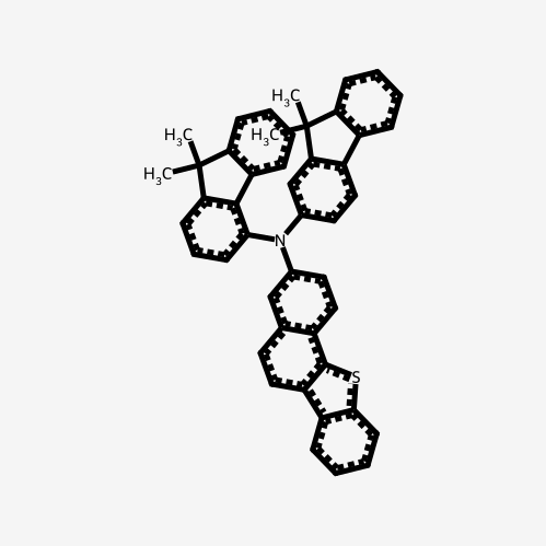 CC1(C)c2ccccc2-c2ccc(N(c3ccc4c(ccc5c6ccccc6sc45)c3)c3cccc4c3-c3ccccc3C4(C)C)cc21